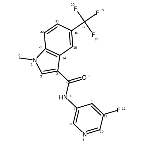 Cn1cc(C(=O)Nc2cncc(F)c2)c2cc(C(F)(F)F)ccc21